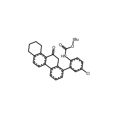 CC(C)(C)OC(=O)Nc1ccc(Cl)cc1-c1cccc2c1CC(=O)c1c-2ccc2c1CCCC2